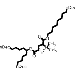 CCCCCCCCCCCCCCCCCCOC(=O)C(CCC(=O)OC(CCCCCCCCCCCCCC)CCCCCCCCCCCCCC)[N+](C)(C)C